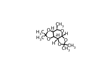 C[C@H]1O[C@@H]2OC(C)(C)O[C@@H]2[C@H]2OC(C)(C)O[C@H]21